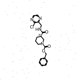 O=C(NCc1nccnc1Cl)[C@@H]1CCCN(C(=O)OCc2ccccc2)C1